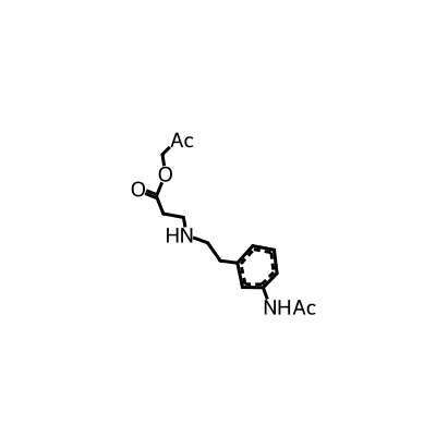 CC(=O)COC(=O)CCNCCc1cccc(NC(C)=O)c1